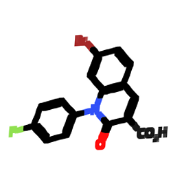 O=C(O)c1cc2ccc(Br)cc2n(-c2ccc(F)cc2)c1=O